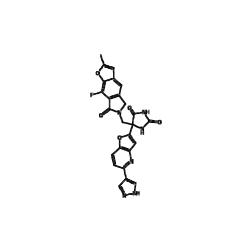 Cc1cc2cc3c(c(F)c2o1)C(=O)N(CC1(c2cc4nc(-c5cn[nH]c5)ccc4o2)NC(=O)NC1=O)C3